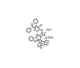 CC(=O)O[C@H]1C(=O)[C@@]2(C)[C@H]([C@H](OC(=O)c3ccccc3)[C@]3([O-])C[C@H](OC(=O)[C@H]([O-])[C@@H](NC(=O)c4ccccc4)c4ccccc4)C(C)=C1C3(C)C)[C@]1(OC(C)=O)CO[C@@H]1C[C@@H]2[O-].[Fe+3]